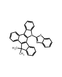 CC1(C)c2ccccc2-c2c1c1ccccc1c1c3ccccc3n(-c3nc4ccccc4s3)c21